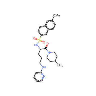 COc1ccc2cc(S(=O)(=O)NC(CCCNc3ccccn3)C(=O)N3CCC(C)CC3)ccc2c1